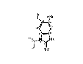 CC(C)n1c(Br)nc2cc(Br)c(F)cc21